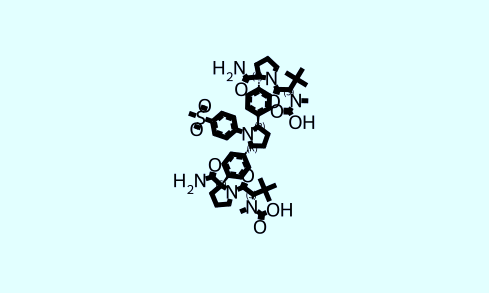 CN(C(=O)O)[C@H](C(=O)N1CCC[C@@]1(C(N)=O)c1ccc([C@H]2CC[C@H](c3ccc([C@]4(C(N)=O)CCCN4C(=O)[C@@H](N(C)C(=O)O)C(C)(C)C)cc3)N2c2ccc(S(C)(=O)=O)cc2)cc1)C(C)(C)C